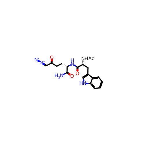 CC(=O)N[C@@H](Cc1c[nH]c2ccccc12)C(=O)N[C@@H](CCC(=O)C=[N+]=[N-])C(N)=O